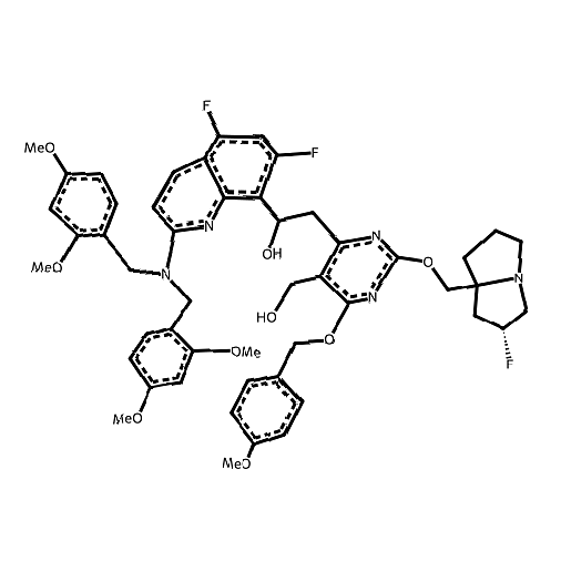 COc1ccc(COc2nc(OCC34CCCN3C[C@H](F)C4)nc(CC(O)c3c(F)cc(F)c4ccc(N(Cc5ccc(OC)cc5OC)Cc5ccc(OC)cc5OC)nc34)c2CO)cc1